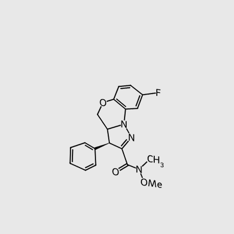 CON(C)C(=O)C1=NN2c3cc(F)ccc3OCC2[C@@H]1c1ccccc1